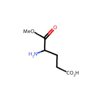 COC(=O)C(N)CCC(=O)O